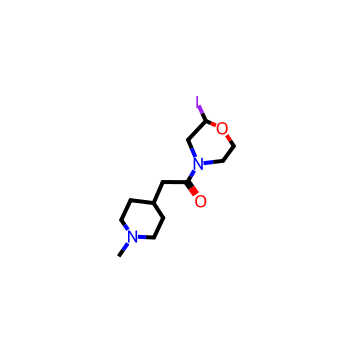 CN1CCC(CC(=O)N2CCOC(I)C2)CC1